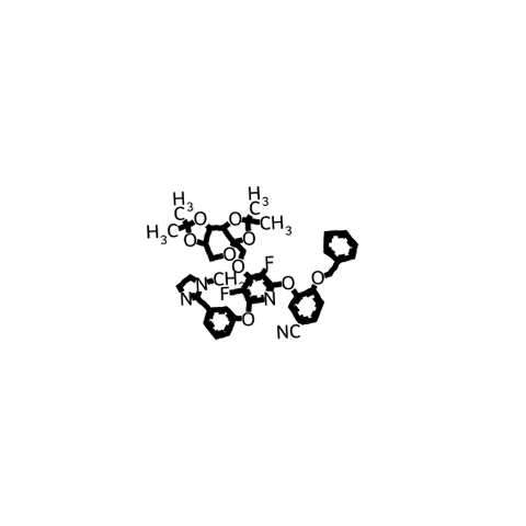 CN1CCN=C1c1cccc(Oc2nc(Oc3cc(C#N)ccc3OCc3ccccc3)c(F)c(OCC34OCC5OC(C)(C)OC5C3OC(C)(C)O4)c2F)c1